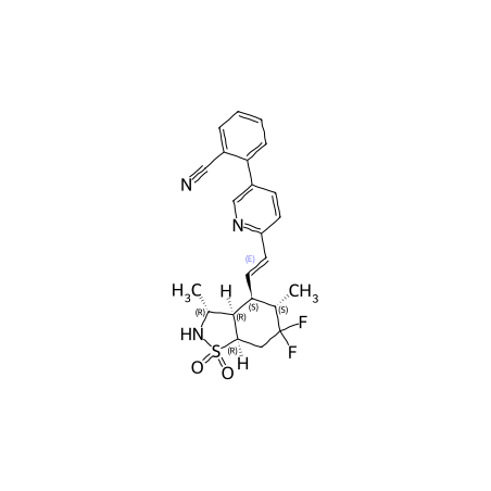 C[C@H]1NS(=O)(=O)[C@@H]2CC(F)(F)[C@@H](C)[C@H](/C=C/c3ccc(-c4ccccc4C#N)cn3)[C@@H]21